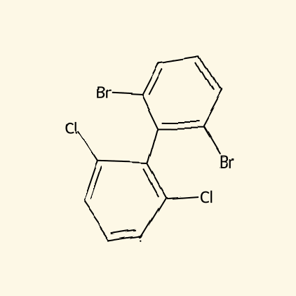 Clc1[c]ccc(Cl)c1-c1c(Br)cccc1Br